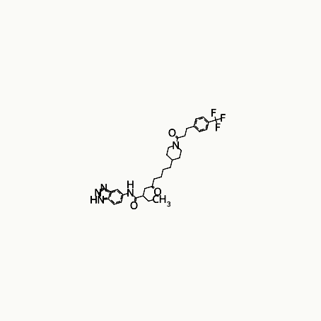 CCC(CC(=O)CCCCC1CCN(C(=O)CCc2ccc(C(F)(F)F)cc2)CC1)C(=O)Nc1ccc2[nH]nnc2c1